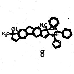 CC1(C)C=Cc2cc3c(cc21)Cc1cc2c(cc1-3)C=[C]([Zr+2]([C]1=CC=CC1)=[C](c1ccccc1)c1ccccc1)C2(C)C.[Cl-].[Cl-]